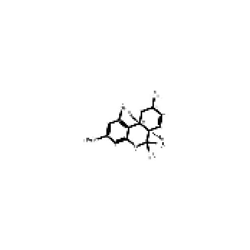 CCCCCc1cc(O)c2c(c1)OC(C)(C)[C@@H]1C=C[C@H](C)C[C@@H]21